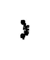 Cc1cccc(-c2nc(C(C)NC(=O)OCc3ccccc3)no2)c1